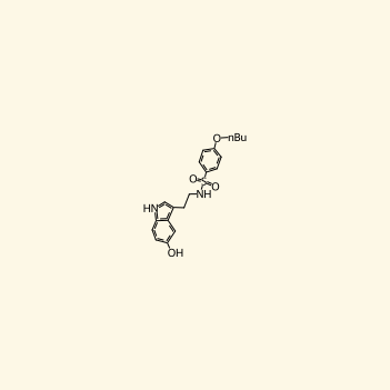 CCCCOc1ccc(S(=O)(=O)NCCc2c[nH]c3ccc(O)cc23)cc1